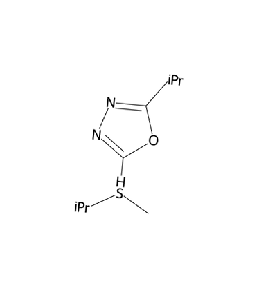 CC(C)c1nnc([SH](C)C(C)C)o1